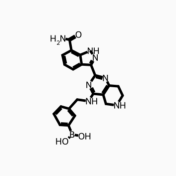 NC(=O)c1cccc2c(-c3nc4c(c(NCc5cccc(B(O)O)c5)n3)CNCC4)n[nH]c12